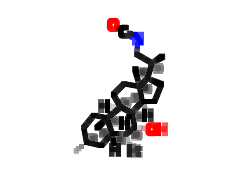 CC[C@H]1[C@@H](O)[C@@H]2[C@H](CC[C@]3(C)[C@@H]([C@H](C)CN=C=O)CC[C@@H]23)[C@@]2(C)CC[C@@H](C)C[C@@H]12